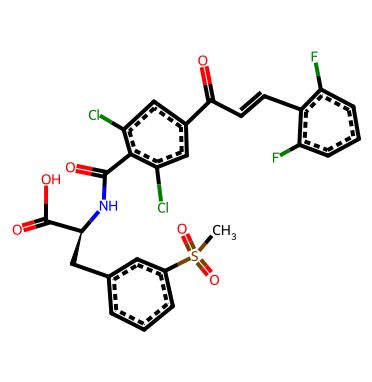 CS(=O)(=O)c1cccc(C[C@H](NC(=O)c2c(Cl)cc(C(=O)/C=C/c3c(F)cccc3F)cc2Cl)C(=O)O)c1